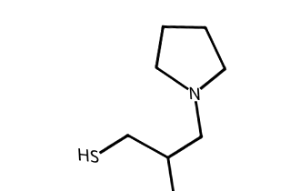 CCCC(CS)CN1CCCC1